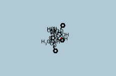 CO[C@H]1O[C@H](COC(C)=O)[C@@H](O[C@@H]2O[C@@H](CO)[C@@H](O)[C@H](OCc3ccccc3)[C@H]2OC(C)=O)[C@H](OCc2ccccc2)[C@H]1NC(=O)OCc1ccccc1